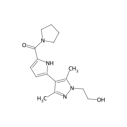 Cc1nn(CCO)c(C)c1-c1ccc(C(=O)N2CCCC2)[nH]1